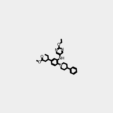 CCOc1ncc(Nc2cc(C(CC)CC(=O)OC)ccc2N2CCC(c3ccccc3)CC2)cn1